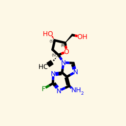 C#C[C@]1(n2cnc3c(N)nc(F)nc32)C[C@H](O)[C@@H](CO)O1